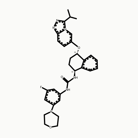 CC(C)c1nnc2ccc(O[C@H]3CC[C@H](NC(=O)Nc4cc(F)cc(N5CCOCC5)c4)c4ccccc43)cn12